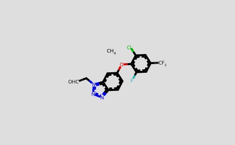 C.O=CCn1nnc2ccc(Oc3c(F)cc(C(F)(F)F)cc3Cl)cc21